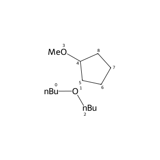 CCCCOCCCC.COC1CCCC1